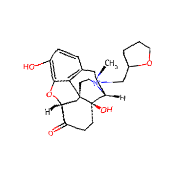 C[N@+]1(CC2CCCO2)CC[C@]23c4c5ccc(O)c4O[C@H]2C(=O)CC[C@@]3(O)[C@H]1C5